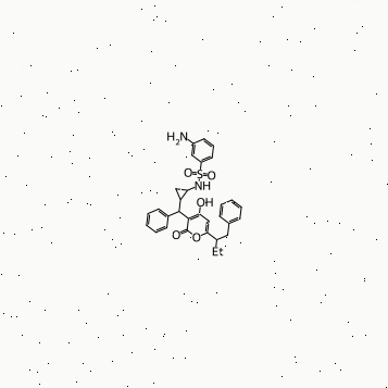 CCC(Cc1ccccc1)c1cc(O)c(C(c2ccccc2)C2CC2NS(=O)(=O)c2cccc(N)c2)c(=O)o1